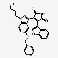 O=C1NC(=O)C(c2cn(CCCO)c3ccc(OCc4ccccc4)cc23)=C1c1coc2ccccc12